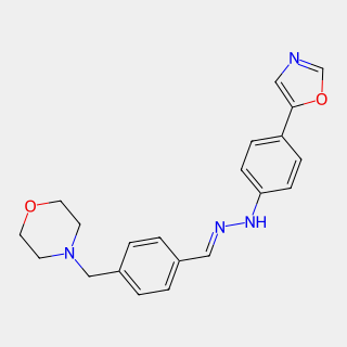 C(=NNc1ccc(-c2cnco2)cc1)c1ccc(CN2CCOCC2)cc1